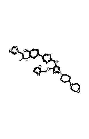 C[C@@H](Cn1cncn1)Oc1cc(-c2cnc(Nc3cn([C@H]4CC[C@H](N5CCOCC5)CC4)nc3OCc3ncco3)nc2)ccc1Cl